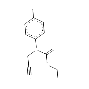 CCOC(=O)N(CC#N)c1ccc(Br)cc1